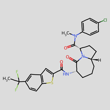 CN(C(=O)[C@@H]1CC[C@@H]2CCC[C@H](NC(=O)c3cc4cc(C(C)(F)F)ccc4s3)C(=O)N21)c1ccc(Cl)cc1